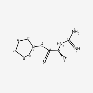 CC[C@H](NC(=N)N)C(=O)ON1CCCCC1